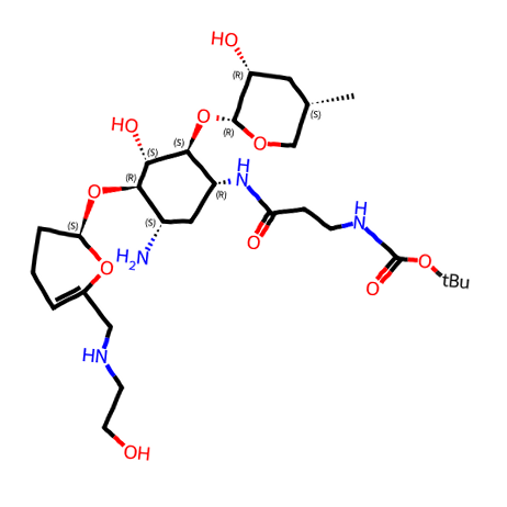 C[C@@H]1CO[C@H](O[C@@H]2[C@@H](O)[C@H](O[C@@H]3CCC=C(CNCCO)O3)[C@@H](N)C[C@H]2NC(=O)CCNC(=O)OC(C)(C)C)[C@H](O)C1